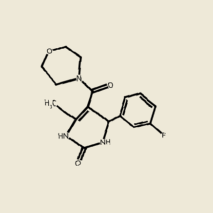 CC1=C(C(=O)N2CCOCC2)C(c2cccc(F)c2)NC(=O)N1